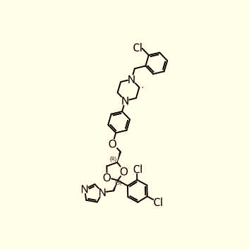 Clc1ccc([C@]2(Cn3ccnc3)OC[C@@H](COc3ccc(N4C[CH]N(Cc5ccccc5Cl)CC4)cc3)O2)c(Cl)c1